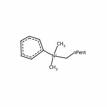 CCCCCC[N+](C)(C)c1ccccc1